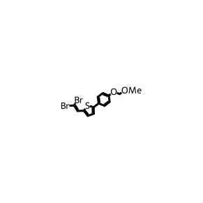 COCOc1ccc(-c2ccc(C=C(Br)Br)s2)cc1